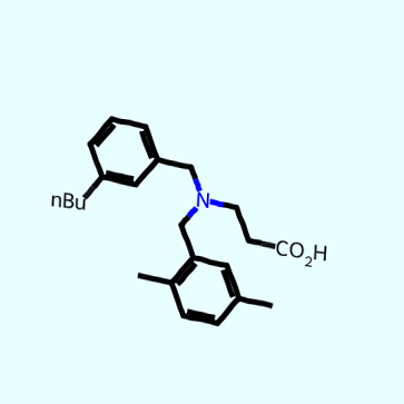 CCCCc1cccc(CN(CCC(=O)O)Cc2cc(C)ccc2C)c1